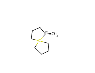 C[C@@H]1CCCS12CCCC2